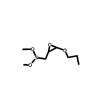 CCCOC1OC1C[Si](OC)OC